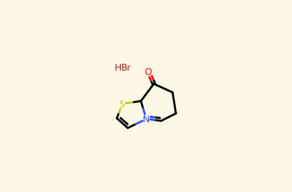 Br.O=C1CCC=[N+]2C=CSC12